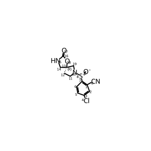 N#Cc1cc(Cl)ccc1[S+]([O-])N1CC[C@@]2(CNC(=O)O2)C1